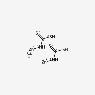 S=C(S)[NH][Zn].S=C(S)[NH][Zn].[Cu]